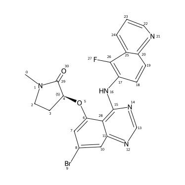 CN1CC[C@H](Oc2cc(Br)cc3ncnc(Nc4ccc5ncccc5c4F)c23)C1=O